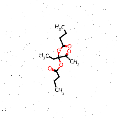 CCCC(=O)OC(CC)(OC(=O)CCC)C(C)=O